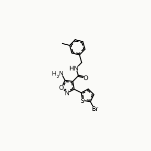 Cc1cccc(CNC(=O)c2c(-c3ccc(Br)s3)noc2N)c1